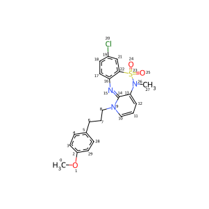 COc1ccc(CCCN2C=CC=C3C2=Nc2ccc(Cl)cc2S(=O)(=O)N3C)cc1